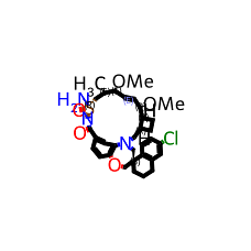 CO[C@H]1/C=C/[C@H](OC)[C@H](C)C[S@](N)(=O)=NC(=O)c2ccc3c(c2)N(C[C@@H]2CC[C@H]21)C[C@@]1(CCCc2cc(Cl)ccc21)CO3